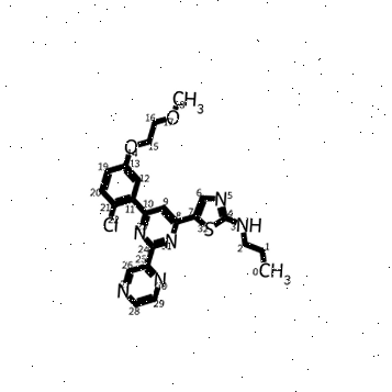 CCCNc1ncc(-c2cc(-c3cc(OCCOC)ccc3Cl)nc(-c3cnccn3)n2)s1